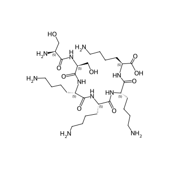 NCCCC[C@H](NC(=O)[C@H](CCCCN)NC(=O)[C@H](CCCCN)NC(=O)[C@H](CCCCN)NC(=O)[C@H](CO)NC(=O)[C@@H](N)CO)C(=O)O